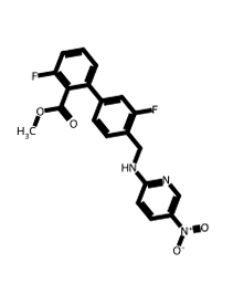 COC(=O)c1c(F)cccc1-c1ccc(CNc2ccc([N+](=O)[O-])cn2)c(F)c1